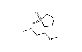 COCCOC.O=S1(=O)CCCC1